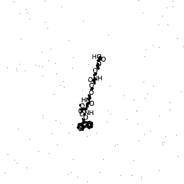 COC(=O)[C@H](CCC(=O)NCCOCCOCC(=O)NCCOCCOCC(=O)O)NC(=O)OCC1c2ccccc2-c2ccccc21